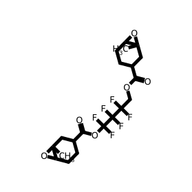 CC12CC(C(=O)OCC(F)(F)C(F)(F)C(F)(F)OC(=O)C3CCC4OC4(C)C3)CCC1O2